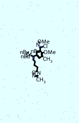 CCC[CH2][Sn]([CH2]CCC)([CH2]CCC)/[C](=C/CCCc1nc(C)no1)c1cc(C)c(OC)c(/C(Cl)=N/OC)c1